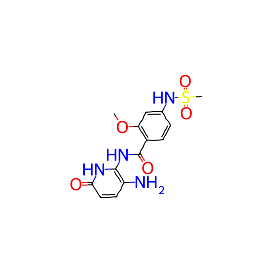 COc1cc(NS(C)(=O)=O)ccc1C(=O)Nc1[nH]c(=O)ccc1N